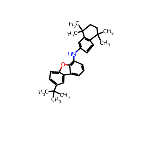 CC(C)(C)c1ccc2oc3c(Nc4ccc5c(c4)C(C)(C)CCC5(C)C)cccc3c2c1